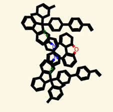 C=Cc1ccc(C2=CC=C(C3(c4cc(C)ccc4C)c4cc(N(c5cccc6c5C5C(N(c7ccc(F)cc7)C7C=CC8=C(C7)C(C7=CCC(c9ccc(C=C)cc9)CC7)(C7CC(C)=CCC7C)c7ccccc78)=CCCC5O6)C5C=CC(F)=CC5)ccc4C4C=CC=CC43)CC2)cc1